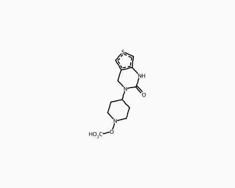 O=C(O)ON1CCC(N2Cc3cscc3NC2=O)CC1